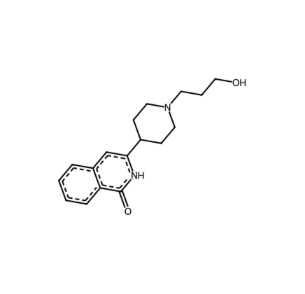 O=c1[nH]c(C2CCN(CCCO)CC2)cc2ccccc12